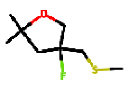 CSCC1(F)COC(C)(C)C1